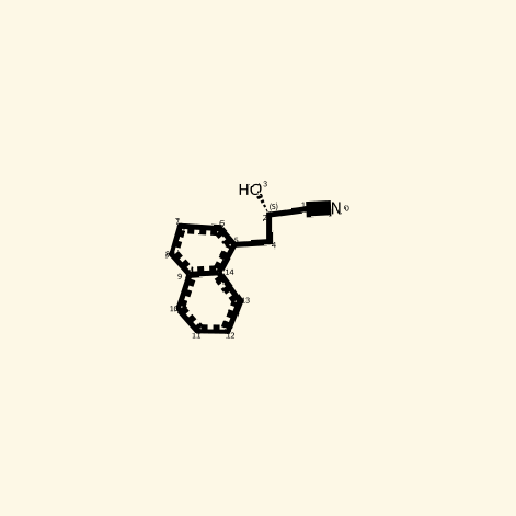 N#C[C@@H](O)Cc1cccc2ccccc12